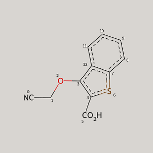 N#CCOc1c(C(=O)O)sc2ccccc12